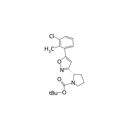 Cc1c(Cl)cccc1-c1cc([C@@H]2CCCN2C(=O)OC(C)(C)C)no1